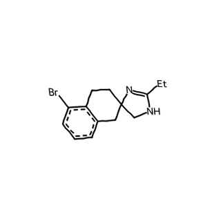 CCC1=NC2(CCc3c(Br)cccc3C2)CN1